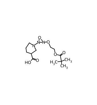 CC(C)(C)C(=O)OCCOn1on1N1CCCC(C(=O)O)C1